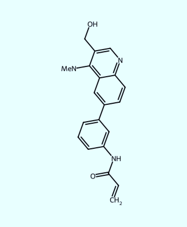 C=CC(=O)Nc1cccc(-c2ccc3ncc(CO)c(NC)c3c2)c1